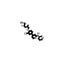 C[C](COc1ccc(-c2ccnc(N[C@H]3CCCOC3)c2)cc1Cl)C[C@H](C)CC(C)(C)C